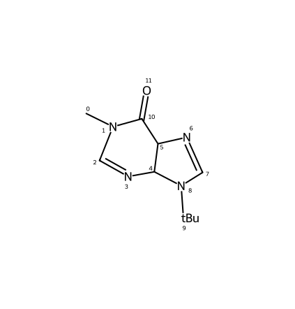 CN1C=NC2C(N=CN2C(C)(C)C)C1=O